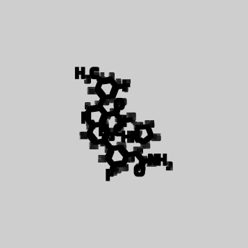 Cc1cc(F)cc(-c2cnc3ccc(-c4cc(F)cc(CC(N)=O)c4)cc3c2C(=O)N(C)C[C@@H]2CCCN2)c1